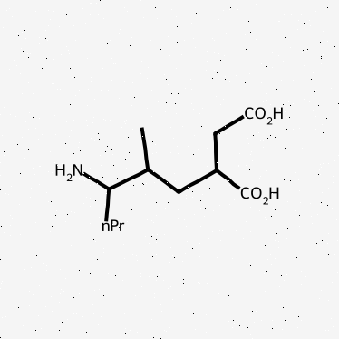 CCCC(N)C(C)CC(CC(=O)O)C(=O)O